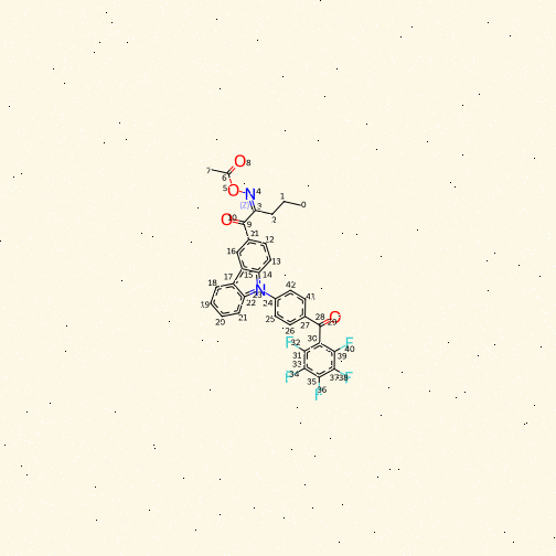 CCC/C(=N/OC(C)=O)C(=O)c1ccc2c(c1)c1ccccc1n2-c1ccc(C(=O)c2c(F)c(F)c(F)c(F)c2F)cc1